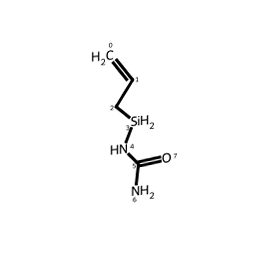 C=CC[SiH2]NC(N)=O